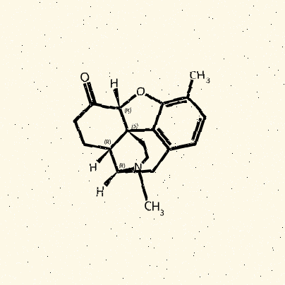 Cc1ccc2c3c1O[C@H]1C(=O)CC[C@H]4[C@@H](C2)N(C)CC[C@]314